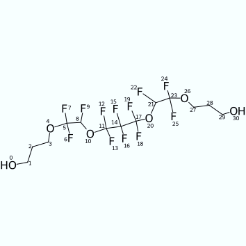 OCCCOC(F)(F)C(F)OC(F)(F)C(F)(F)C(F)(F)OC(F)C(F)(F)OCCCO